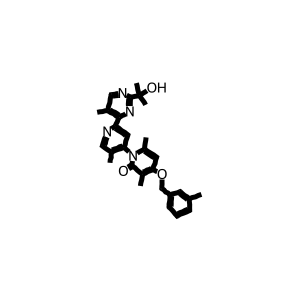 Cc1cccc(COc2cc(C)n(-c3cc(-c4nc(C(C)(C)O)ncc4C)ncc3C)c(=O)c2C)c1